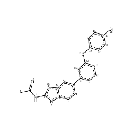 CC(=O)Nc1nc2ccc(-c3ccnc(Sc4ccc(Br)cc4)n3)cc2s1